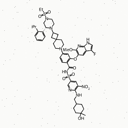 CCS(=O)(=O)N1CCN(C2CC3(CCN(c4ccc(C(=O)NS(=O)(=O)c5cnc(NCC6CCC(C)(O)CC6)c([N+](=O)[O-])c5)c(Oc5cc6c(F)c[nH]c6nc5OC)c4)CC3)C2)[C@H](c2ccccc2C(C)C)C1